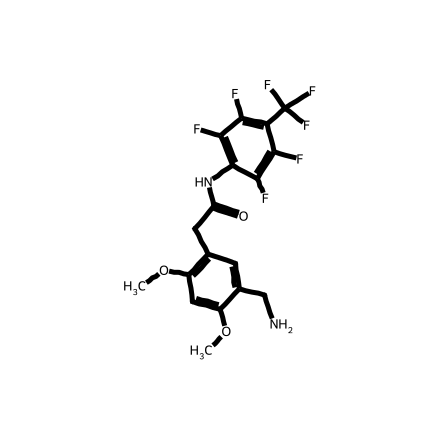 COc1cc(OC)c(CC(=O)Nc2c(F)c(F)c(C(F)(F)F)c(F)c2F)cc1CN